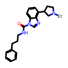 CCN1CCC(c2cccc3c2ncn3C(=O)NCCCc2ccccc2)C1